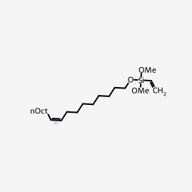 C=C[Si](OC)(OC)OCCCCCCCC/C=C\CCCCCCCC